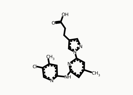 Cc1cc(Nc2cc(C)c(Cl)cn2)nc(-n2cc(CCC(=O)O)cn2)c1